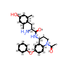 CC(=O)N1CC[C@H](NC(=O)[C@@H](N)Cc2c(C)cc(O)cc2C)c2cc(Oc3ccccc3)ccc21